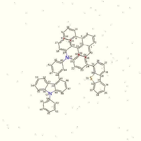 C1=c2cccc(-c3ccccc3)c2=C(c2ccccc2N(c2ccc(-c3cccc4c3sc3ccccc34)cc2)c2cccc(-c3cccc4c3c3ccccc3n4-c3ccccc3)c2)CC1